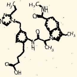 CCc1nncn1Cc1ccc(CCCC(=O)O)c(NC(=O)C(C)n2cc(C)c3ccc(C(=O)NC)cc32)c1